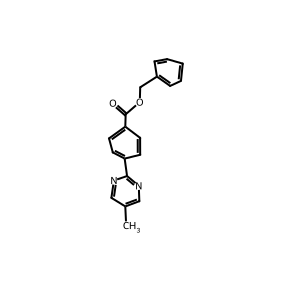 Cc1cnc(-c2ccc(C(=O)OCc3ccccc3)cc2)nc1